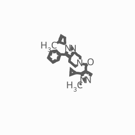 CC1=CCC1n1nc2c(c1-c1ccccc1)CCN(C(=O)c1cnn(C)c1C1CC1)C2